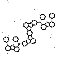 c1ccc(-c2cccc3c2oc2c(N(c4ccccc4)c4ccc5c6cccc7c8cc9c(cc8n(c5c4)c67)c4cccc5c6ccc(N(c7ccccc7)c7cccc8c7oc7c(-c%10ccccc%10)cccc78)cc6n9c54)cccc23)cc1